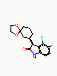 O=C1Nc2ccc(F)c(F)c2C1=C1CCCC2(C1)OCCO2